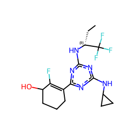 CC[C@@H](Nc1nc(NC2CC2)nc(C2=C(F)C(O)CCC2)n1)C(F)(F)F